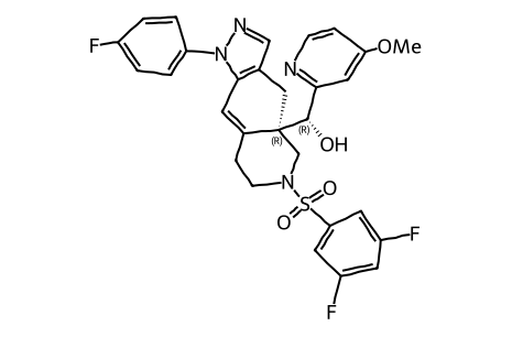 COc1ccnc([C@H](O)[C@]23Cc4cnn(-c5ccc(F)cc5)c4C=C2CCN(S(=O)(=O)c2cc(F)cc(F)c2)C3)c1